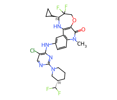 Cn1c(=O)c2c(c3cc(Nc4nc(N5CCC[C@H](C(F)F)C5)ncc4Cl)ccc31)N[C@@H](C1CC1)C(F)(F)CO2